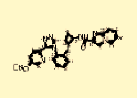 CCOc1ccc(-c2nnc([C@H]3C[C@H](NC(=O)c4cn5ccccc5n4)C3)n2-c2ccccc2F)nc1